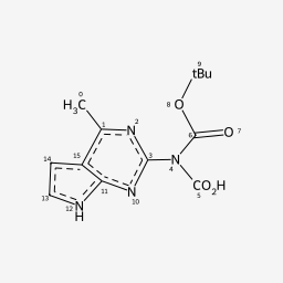 Cc1nc(N(C(=O)O)C(=O)OC(C)(C)C)nc2[nH]ccc12